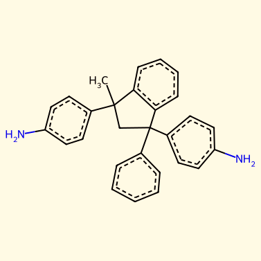 CC1(c2ccc(N)cc2)CC(c2ccccc2)(c2ccc(N)cc2)c2ccccc21